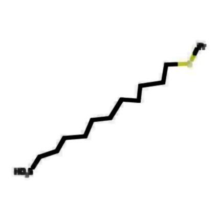 CC(C)SCCCCCCCCCCCS(=O)(=O)O